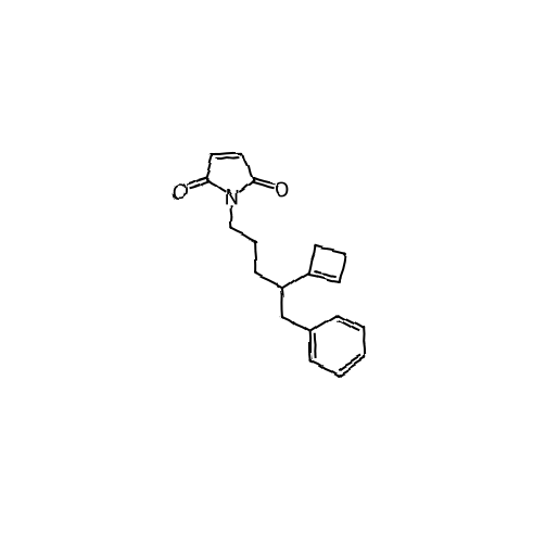 O=C1C=CC(=O)N1CCCC(Cc1ccccc1)C1=CCC1